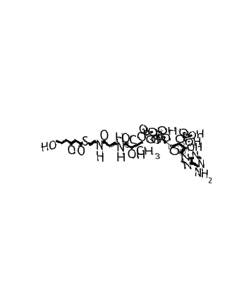 CC(C)(COP(=O)(O)OP(=O)(O)OC[C@H]1O[C@@H](n2cnc3c(N)ncnc32)[C@H](O)[C@@H]1OP(=O)(O)O)C(O)C(=O)NCCC(=O)NCCSC(=O)CC(=O)CCCO